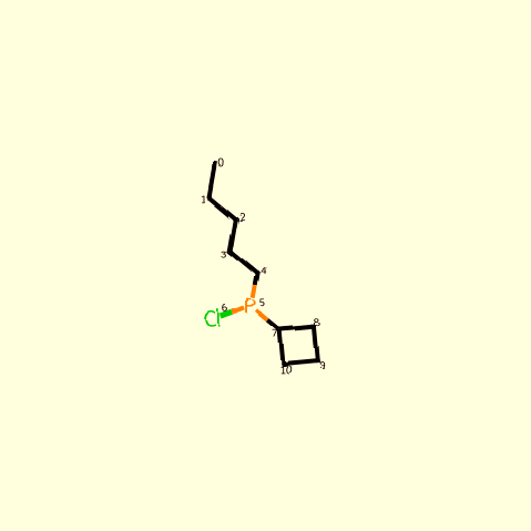 CCCCCP(Cl)C1CCC1